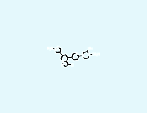 Cn1cc(-c2cc(-c3ccc(N4CCN(C(=O)O)C(C(C)(C)C)C4)nc3)c3c(Cl)cnn3c2)cn1